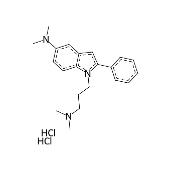 CN(C)CCCn1c(-c2ccccc2)cc2cc(N(C)C)ccc21.Cl.Cl